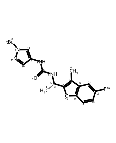 Cc1c([C@H](C)NC(=O)Nc2cnn(C(C)(C)C)c2)oc2ccc(F)cc12